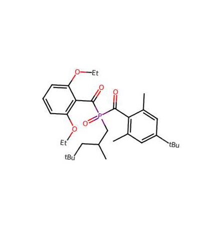 CCOc1cccc(OCC)c1C(=O)P(=O)(CC(C)CC(C)(C)C)C(=O)c1c(C)cc(C(C)(C)C)cc1C